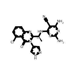 C[C@H](Nc1nc(N)nc(N)c1C#N)c1nc2cccc(Cl)c2c(=O)n1-c1cn[nH]c1